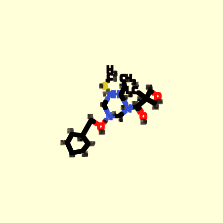 CCCN(CN(CNSC)OCC1CCCCC1)C(=O)C1(C)COC1